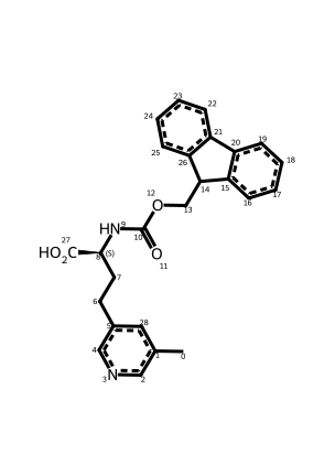 Cc1cncc(CC[C@H](NC(=O)OCC2c3ccccc3-c3ccccc32)C(=O)O)c1